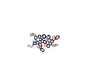 Cc1cnc(N(c2ccc(C(C)(C)C)cc2)c2ccc3c(c2)C2(c4ccccc4-c4ccccc42)c2cc(N(c4ccc(C(C)(C)C)cc4)c4ncccc4-c4cccc5c4oc4ccccc45)c4c(oc5ccccc54)c2-3)c(-c2cccc3c2oc2ccccc23)c1